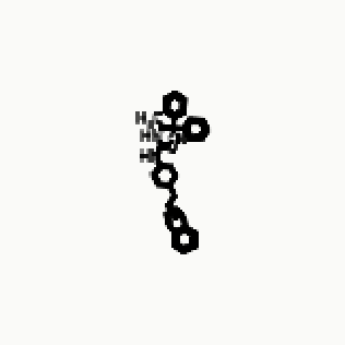 C[C@H](NC(=O)NC1CCC(CCN2C3CCC2c2ccccc23)CC1)C(C#N)(c1ccccc1)c1ccccc1